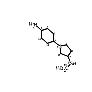 NC1CCC(N2CCC(NC(=O)O)C2)CC1